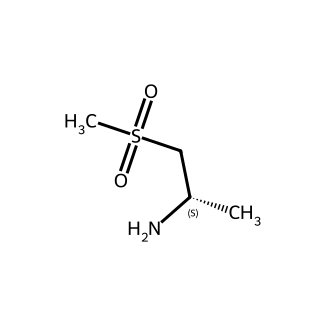 C[C@H](N)CS(C)(=O)=O